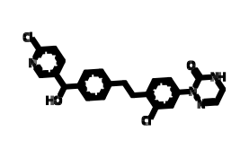 O=C1NCC=NN1c1ccc(CCc2ccc(C(O)c3ccc(Cl)nc3)cc2)c(Cl)c1